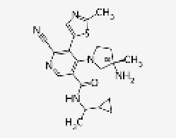 Cc1ncc(-c2c(C#N)ncc(C(=O)NC(C)C3CC3)c2N2CC[C@](C)(N)C2)s1